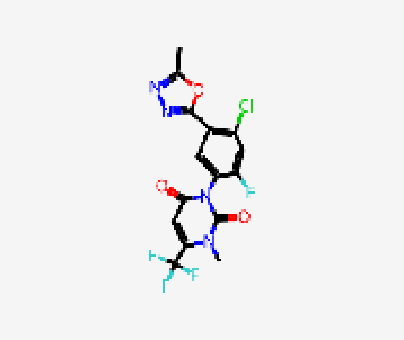 Cc1nnc(-c2cc(-n3c(=O)cc(C(F)(F)F)n(C)c3=O)c(F)cc2Cl)o1